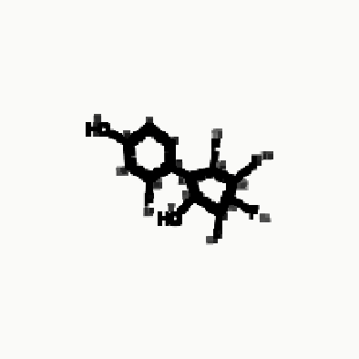 Oc1ccc(-c2c(O)c(F)c(F)c(F)c2F)c(F)c1